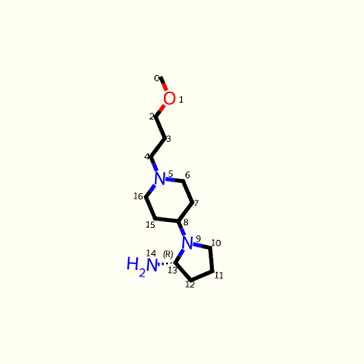 COCCCN1CCC(N2CCC[C@@H]2N)CC1